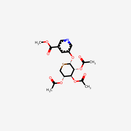 COC(=O)c1cncc(O[C@H]2SC[C@@H](OC(C)=O)[C@H](OC(C)=O)[C@H]2OC(C)=O)c1